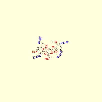 CO[C@@H]1C(N=[N+]=[N-])CC(N=[N+]=[N-])[C@H](O)[C@H]1O[C@@H]1O[C@H](CO)[C@@H](O[C@H]2O[C@@H](CN=[N+]=[N-])C[C@H](O)C2N=[N+]=[N-])[C@H]1O